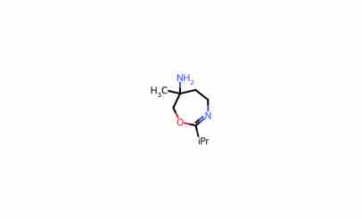 CC(C)C1=NCCC(C)(N)CO1